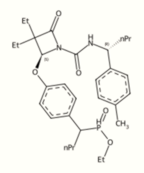 CCCC(c1ccc(O[C@@H]2N(C(=O)N[C@H](CCC)c3ccc(C)cc3)C(=O)C2(CC)CC)cc1)[PH](=O)OCC